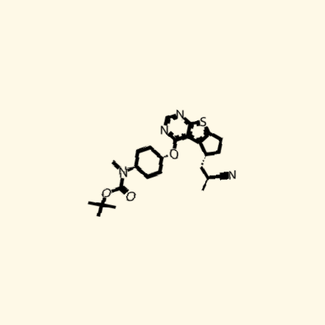 C[C@H](C#N)C[C@H]1CCc2sc3ncnc(O[C@H]4CC[C@H](N(C)C(=O)OC(C)(C)C)CC4)c3c21